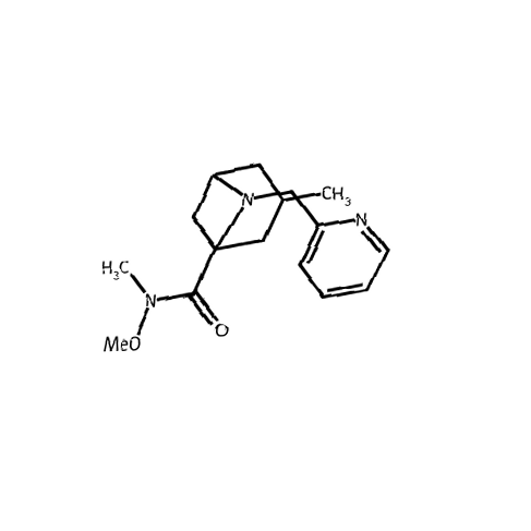 CON(C)C(=O)C12CC(C)CC(C1)N2Cc1ccccn1